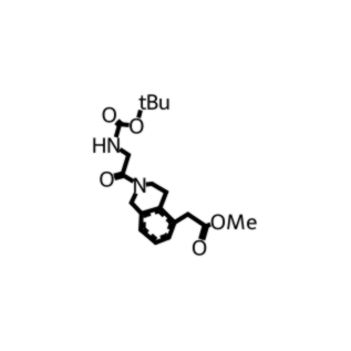 COC(=O)Cc1cccc2c1CCN(C(=O)CNC(=O)OC(C)(C)C)C2